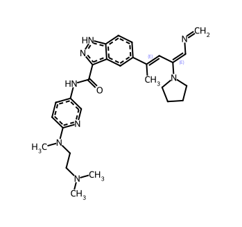 C=N/C=C(\C=C(/C)c1ccc2[nH]nc(C(=O)Nc3ccc(N(C)CCN(C)C)nc3)c2c1)N1CCCC1